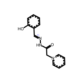 O=C(C[n+]1ccccc1)N/N=C/c1ccccc1O